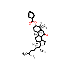 CC(C)CCC[C@@H](C)[C@H]1CCC2=C3C(=O)C[C@H]4C(C)(C)[C@@H](OC(=O)c5ccccc5)CC[C@]4(C)[C@H]3CC[C@@]21C